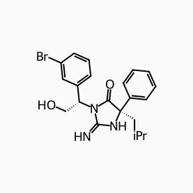 CC(C)C[C@]1(c2ccccc2)NC(=N)N([C@H](CO)c2cccc(Br)c2)C1=O